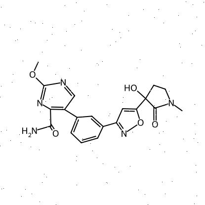 COc1ncc(-c2cccc(-c3cc(C4(O)CCN(C)C4=O)on3)c2)c(C(N)=O)n1